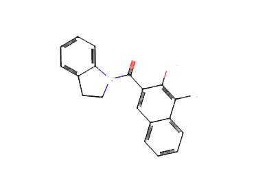 O=Nc1c(O)c(C(=O)N2CCc3ccccc32)cc2ccccc12